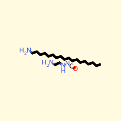 CCCCCCCCCCCCCCCCCCN.NCCNN=C=O